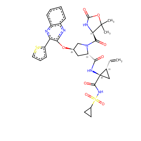 C=C[C@@H]1C[C@]1(NC(=O)[C@@H]1C[C@@H](Oc2nc3ccccc3nc2-c2cccs2)CN1C(=O)[C@H]1NC(=O)OC1(C)C)C(=O)NS(=O)(=O)C1CC1